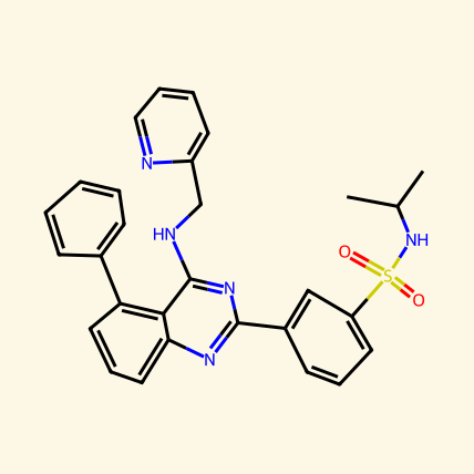 CC(C)NS(=O)(=O)c1cccc(-c2nc(NCc3ccccn3)c3c(-c4ccccc4)cccc3n2)c1